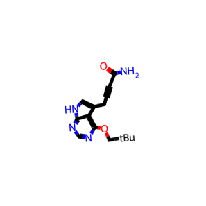 CC(C)(C)COc1ncnc2[nH]cc(CC#CC(N)=O)c12